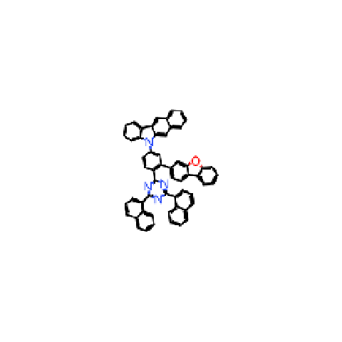 c1ccc2cc3c(cc2c1)c1ccccc1n3-c1ccc(-c2nc(-c3cccc4ccccc34)nc(-c3cccc4ccccc34)n2)c(-c2ccc3c(c2)oc2ccccc23)c1